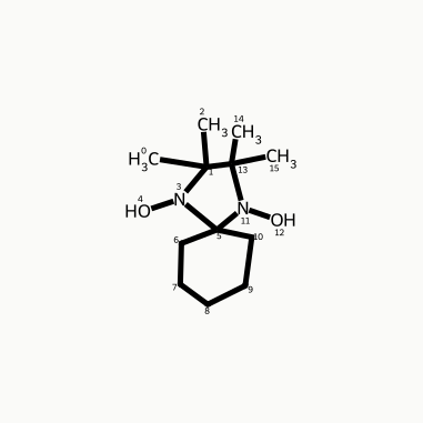 CC1(C)N(O)C2(CCCCC2)N(O)C1(C)C